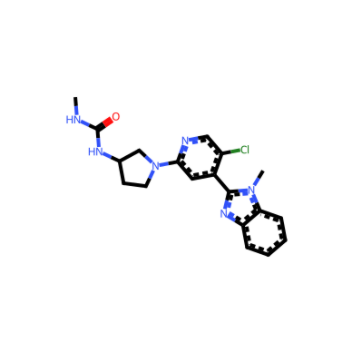 CNC(=O)NC1CCN(c2cc(-c3nc4ccccc4n3C)c(Cl)cn2)C1